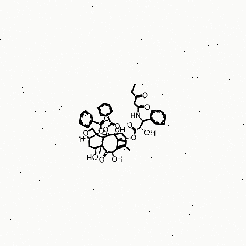 CCC(=O)CC(=O)N[C@@H](c1ccccc1)[C@@H](O)C(=O)O[C@H]1C[C@@]2(O)[C@@H](OC(=O)c3ccccc3)[C@@H]3[C@]4(OC(=O)c5ccccc5)CO[C@@H]4C[C@H](O)[C@@]3(C)C(=O)[C@H](O)C(=C1C)C2(C)C